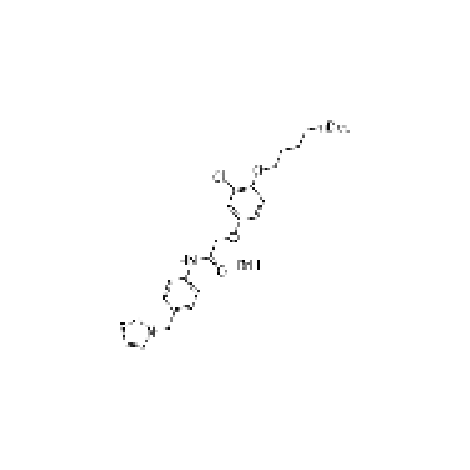 Br.CCCCCCCCCCCCCCOc1ccc(OCC(=O)Nc2ccc(CN3C=CSC3)cc2)cc1Cl